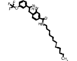 CCCCCCCCCCCCNC(=O)c1ccc(CC([NH])c2cccc(OC(F)(F)F)c2)c(Br)c1